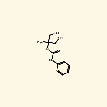 CC(CO)(CO)NC(=S)Nc1ccccc1